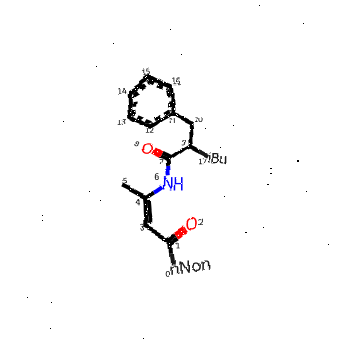 CCCCCCCCCC(=O)/C=C(/C)NC(=O)C(Cc1ccccc1)C(C)CC